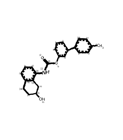 Cc1ccc(-c2cccc(OC(=O)Nc3cccc4c3CC(O)CC4)c2)cc1